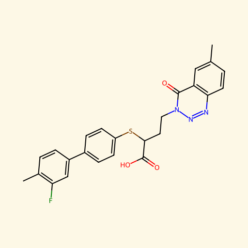 Cc1ccc2nnn(CCC(Sc3ccc(-c4ccc(C)c(F)c4)cc3)C(=O)O)c(=O)c2c1